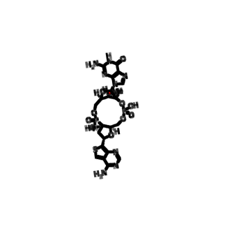 CO[C@H]1[C@H]2OP(=O)(O)OC[C@H]3O[C@@H](c4scc5c(N)ncnc45)C[C@@H]3P(=O)(O)OC[C@H]1O[C@H]2n1cnc2c(=O)[nH]c(N)nc21